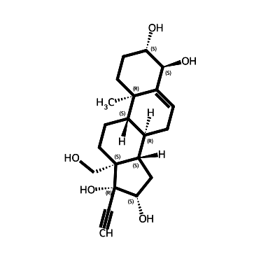 C#C[C@]1(O)[C@@H](O)C[C@H]2[C@@H]3CC=C4[C@H](O)[C@@H](O)CC[C@]4(C)[C@H]3CC[C@@]21CO